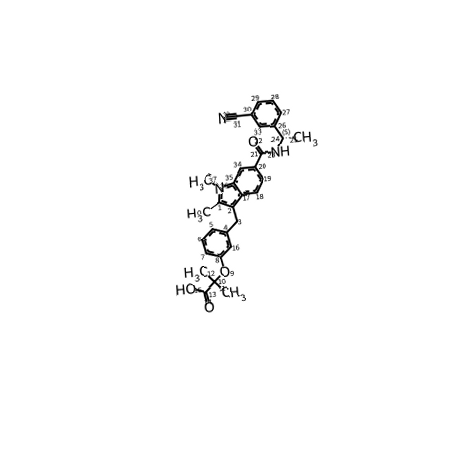 Cc1c(Cc2cccc(OC(C)(C)C(=O)O)c2)c2ccc(C(=O)N[C@@H](C)c3cccc(C#N)c3)cc2n1C